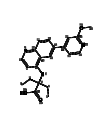 CCC(CC)(Sc1ccnc2ccc(-c3ccnc(OC)c3)cc12)C(=O)O